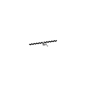 CCCCCCCCCCCN([SiH3])CCCCCCCCCCC